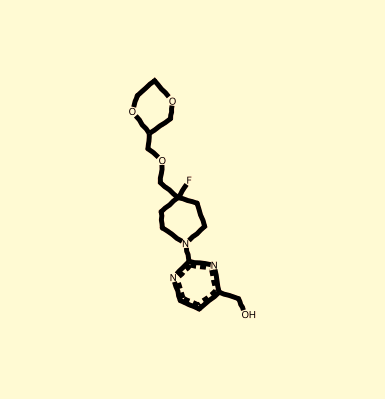 OCc1ccnc(N2CCC(F)(COCC3COCCO3)CC2)n1